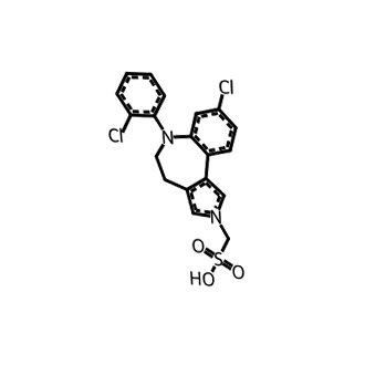 O=S(=O)(O)Cn1cc2c(c1)-c1ccc(Cl)cc1N(c1ccccc1Cl)CC2